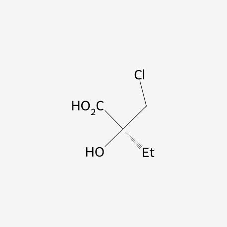 CC[C@@](O)(CCl)C(=O)O